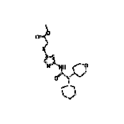 COC(=O)CSc1cnc(NC(=O)N(C2CCCCC2)C2CCOCC2)s1